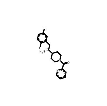 N[C@H](Cc1cc(F)ccc1F)C1CCN(C(=O)c2ncccn2)CC1